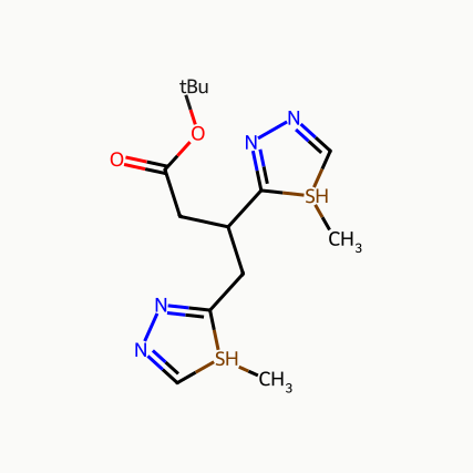 C[SH]1C=NN=C1CC(CC(=O)OC(C)(C)C)C1=NN=C[SH]1C